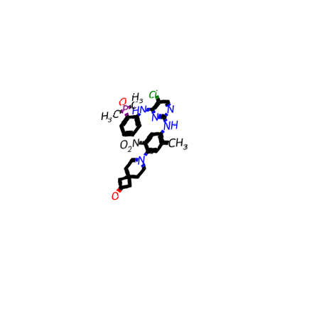 Cc1cc(N2CCC3(CC2)CC(=O)C3)c([N+](=O)[O-])cc1Nc1ncc(Cl)c(Nc2ccccc2P(C)(C)=O)n1